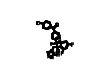 O=C(c1ccc(Cl)cc1)c1ccc(C(F)(F)C(O)(Cn2cnnn2)c2ccc(F)cc2F)nc1